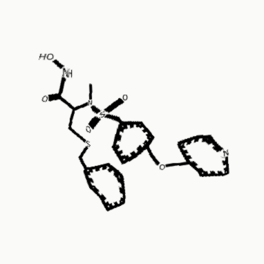 CN(C(CSCc1ccccc1)C(=O)NO)S(=O)(=O)c1ccc(Oc2ccncc2)cc1